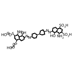 Nc1c(SOOO)cc(SOOO)c2ccc(N=Nc3ccc(-c4ccc(N=Nc5ccc6c(S(=O)(=O)O)cc(S(=O)(=O)O)c(N)c6c5O)cc4)cc3)c(O)c12